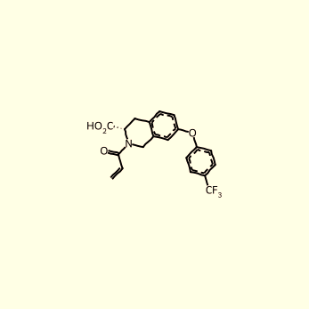 C=CC(=O)N1Cc2cc(Oc3ccc(C(F)(F)F)cc3)ccc2C[C@H]1C(=O)O